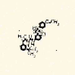 C=C(C)c1cccc(CC(C)NC(=O)Nc2ccc(Cl)c(S(=O)(=O)Nc3ccc(OCC)cc3)c2)c1